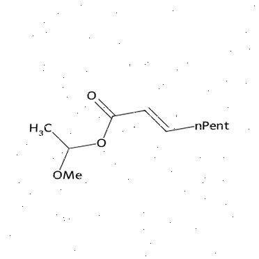 CCCCCC=CC(=O)OC(C)OC